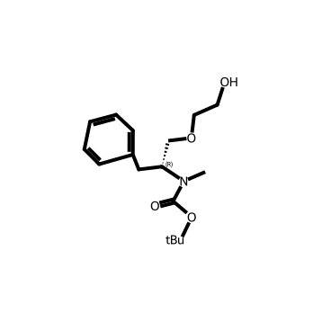 CN(C(=O)OC(C)(C)C)[C@@H](COCCO)Cc1ccccc1